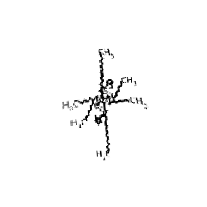 CCCCCCCCCCCCc1cc(C2=C3C(=O)N(CC(CCCCCC)CCCCCCCC)C(c4cc(CCCCCCCCCCCC)c(-c5cccs5)s4)=C3C(=O)N2CC(CCCCCC)CCCCCCCC)sc1-c1cccs1